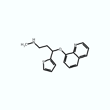 CNCCC(Oc1cccc2cccnc12)c1cccs1